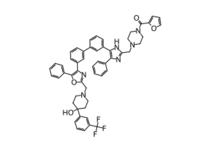 O=C(c1ccco1)N1CCN(Cc2nc(-c3ccccc3)c(-c3cccc(-c4cccc(-c5nc(CN6CCC(O)(c7cccc(C(F)(F)F)c7)CC6)oc5-c5ccccc5)c4)c3)[nH]2)CC1